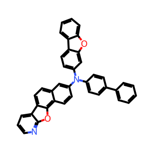 c1ccc(-c2ccc(N(c3ccc4c(ccc5c6cccnc6oc45)c3)c3ccc4c(c3)oc3ccccc34)cc2)cc1